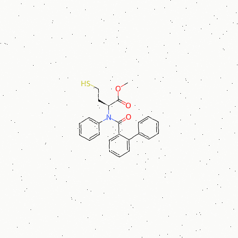 COC(=O)[C@H](CCS)N(C(=O)c1ccccc1-c1ccccc1)c1ccccc1